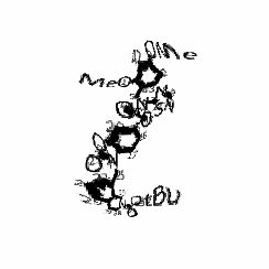 COc1ccc(CN(c2ncns2)S(=O)(=O)c2ccc3c(c2)oc(=O)n3Cc2cccc3c2CN(C(=O)OC(C)(C)C)CC3)c(OC)c1